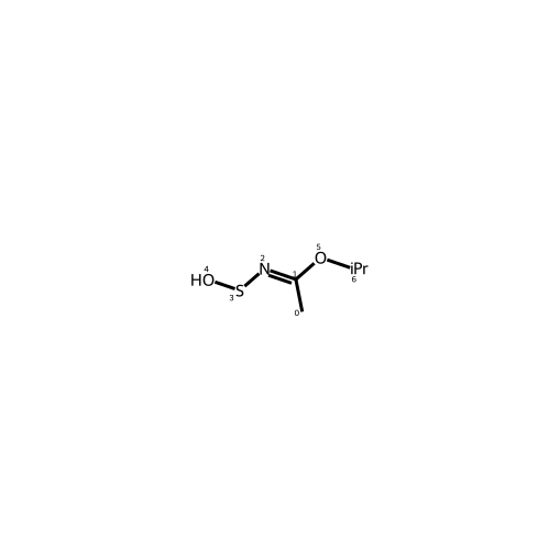 C/C(=N\SO)OC(C)C